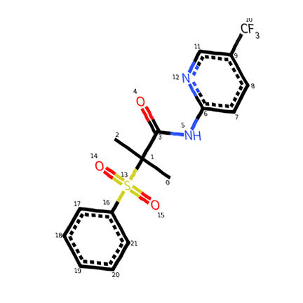 CC(C)(C(=O)Nc1ccc(C(F)(F)F)cn1)S(=O)(=O)c1ccccc1